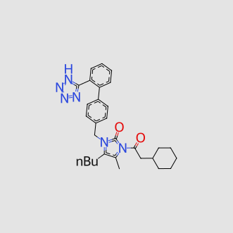 CCCCc1c(C)n(C(=O)CC2CCCCC2)c(=O)n1Cc1ccc(-c2ccccc2-c2nnn[nH]2)cc1